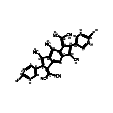 N#CC(C#N)=C1C(c2cnc(F)nc2)=C(C#N)c2c1cc1c(c2C#N)C(=C(C#N)C#N)C(c2cnc(F)nc2)=C1C#N